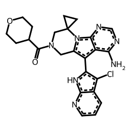 Nc1ncnc2c1c(-c1[nH]c3ncccc3c1Cl)c1n2C2(CC2)CN(C(=O)C2CCOCC2)C1